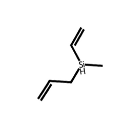 C=CC[SiH](C)C=C